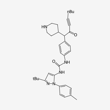 CCCCC#CC(=O)C(c1ccc(NC(=O)Nc2cc(C(C)(C)C)nn2-c2ccc(C)cc2)cc1)C1CCNCC1